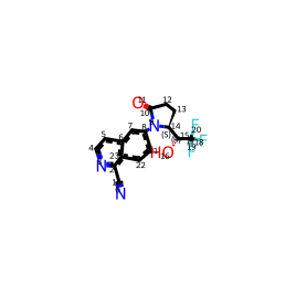 N#Cc1nccc2cc(N3C(=O)CC[C@H]3[C@@H](O)C(F)(F)F)ccc12